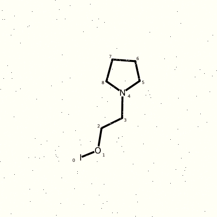 IOCCN1CCCC1